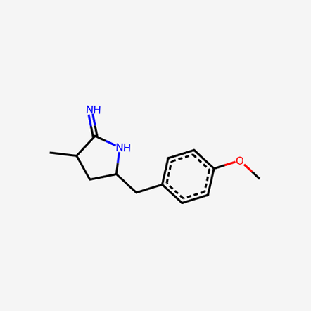 COc1ccc(CC2CC(C)C(=N)N2)cc1